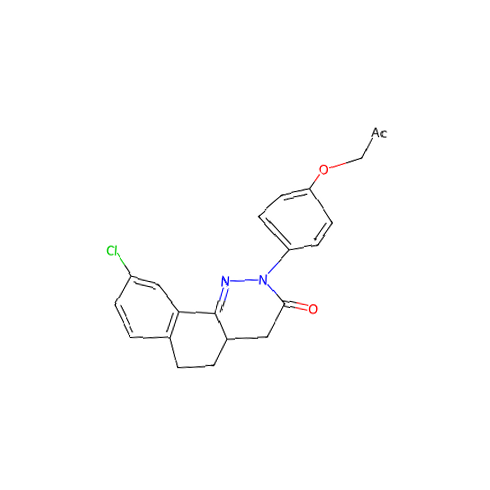 CC(=O)COc1ccc(N2N=C3c4cc(Cl)ccc4CCC3CC2=O)cc1